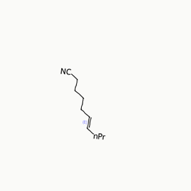 CCC/C=C/CCCCC#N